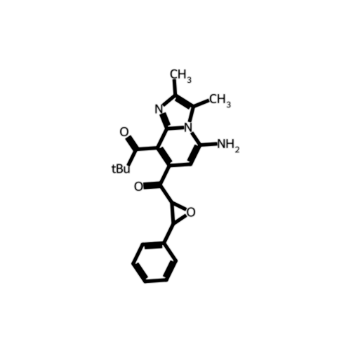 Cc1nc2c(C(=O)C(C)(C)C)c(C(=O)C3OC3c3ccccc3)cc(N)n2c1C